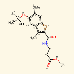 COc1cc2sc(C(=O)NCCC(=O)OC(C)(C)C)c(C)c2cc1O[Si](C)(C)C(C)(C)C